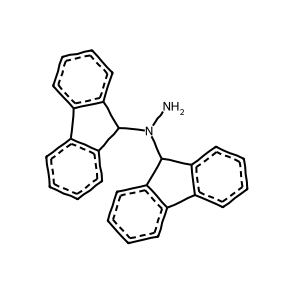 NN(C1c2ccccc2-c2ccccc21)C1c2ccccc2-c2ccccc21